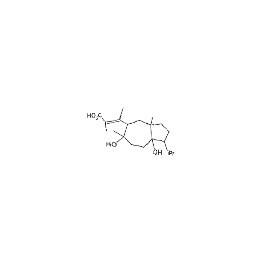 CC(C(=O)O)=C(C)C1CC2(C)CCC(C(C)C)C2(O)CCC1(C)O